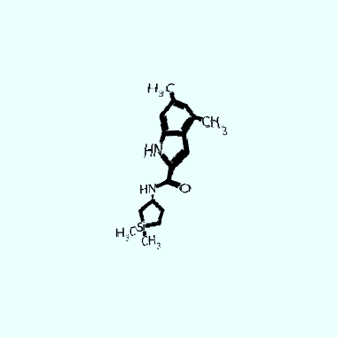 Cc1cc(C)c2cc(C(=O)N[C@@H]3CC[Si](C)(C)C3)[nH]c2c1